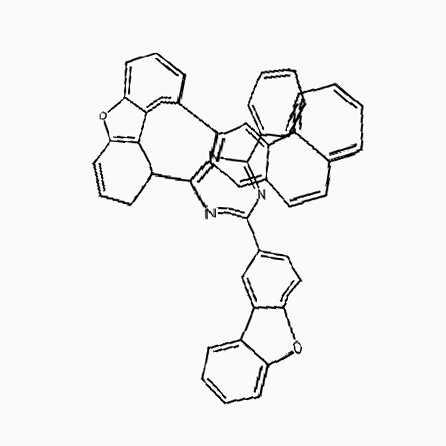 C1=Cc2oc3cccc(-c4ccc5ccc6ccccc6c5c4)c3c2C(c2nc(-c3ccccc3)nc(-c3ccc4oc5ccccc5c4c3)n2)C1